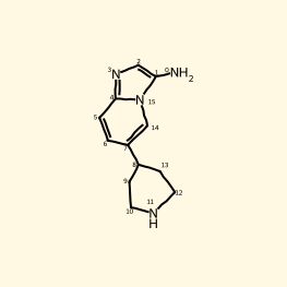 Nc1cnc2ccc(C3CCNCC3)cn12